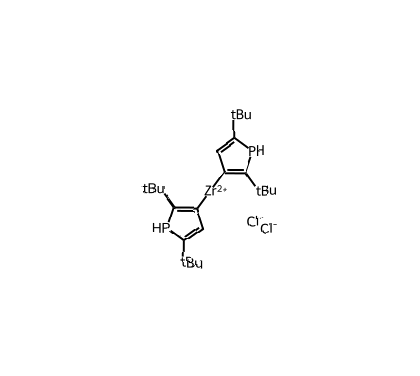 CC(C)(C)c1c[c]([Zr+2][c]2cc(C(C)(C)C)[pH]c2C(C)(C)C)c(C(C)(C)C)[pH]1.[Cl-].[Cl-]